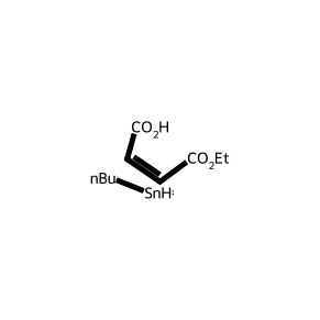 CCC[CH2][SnH].CCOC(=O)/C=C\C(=O)O